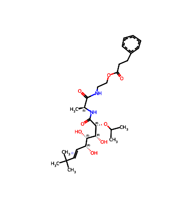 CC(C)O[C@@H](C(=O)N[C@@H](C)C(=O)NCCOC(=O)CCc1ccccc1)[C@H](O)[C@@H](O)[C@H](O)/C=C/C(C)(C)C